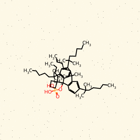 CCCCCC(C)(C)c1ccc(C(OP(=O)(O)O)(c2ccc(C(C)(C)CCCCC)cc2C(C)(C)CCCCC)C2(CCCC)CCC2)c(C(C)(C)CCCCC)c1